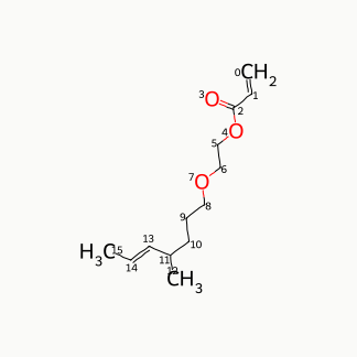 C=CC(=O)OCCOCCCC(C)C=CC